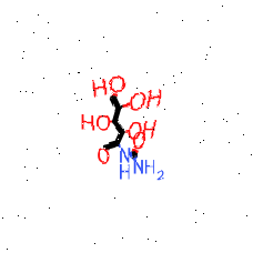 NC(=O)N[C@H](C=O)[C@@H](O)[C@H](O)[C@H](O)CO